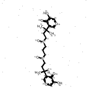 CC(C)(CC[S+]([O-])CCC[S+]([O-])CCC(C)(C)c1cocc(O)c1=O)c1cocc(O)c1=O